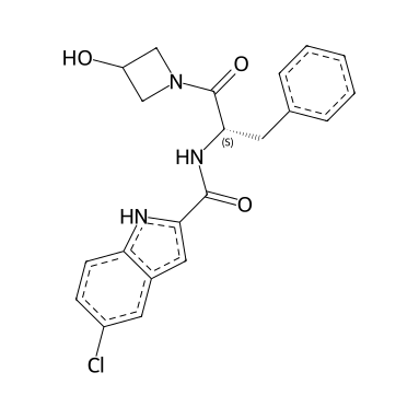 O=C(N[C@@H](Cc1ccccc1)C(=O)N1CC(O)C1)c1cc2cc(Cl)ccc2[nH]1